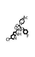 CC(=O)N1CCN(C(=O)[C@H](Cc2ccc(F)cc2)NC(=O)c2cc3cc(Cl)cnc3[nH]2)CC1